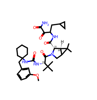 COc1cccc(CC2(NC(=O)N[C@H](C(=O)N3CC4[C@@H]([C@H]3C(=O)NC(CC3CC3)C(=O)C(N)=O)C4(C)C)C(C)(C)C)CCCCC2)c1